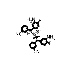 CC(C)([C@H](c1cccc(C#N)c1)c1ccc(F)c(N)c1)[S@@+]([O-])N[C@H](c1cccc(C#N)c1)c1ccc(F)c(N)c1